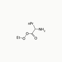 CCCC(N)C(=O)OOCC